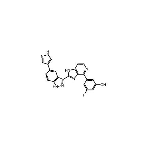 Oc1cc(F)cc(-c2nccc3[nH]c(-c4n[nH]c5cnc(-c6cn[nH]c6)cc45)nc23)c1